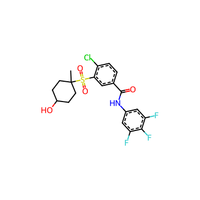 CC1(S(=O)(=O)c2cc(C(=O)Nc3cc(F)c(F)c(F)c3)ccc2Cl)CCC(O)CC1